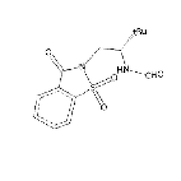 CC(C)(C)[C@@H](CN1C(=O)c2ccccc2S1(=O)=O)NC=O